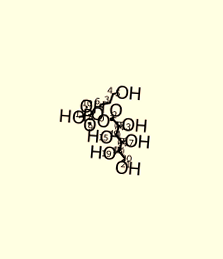 O=C(OC(CO)COP(=O)(O)O)[C@H](O)[C@@H](O)[C@H](O)[C@H](O)CO